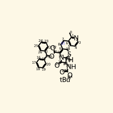 Cc1ncccc1/C=C\C1=C(C(=O)OC(c2ccccc2)c2ccccc2)N2C(=O)[C@@H](NC(=O)OC(C)(C)C)[C@@H]2SC1